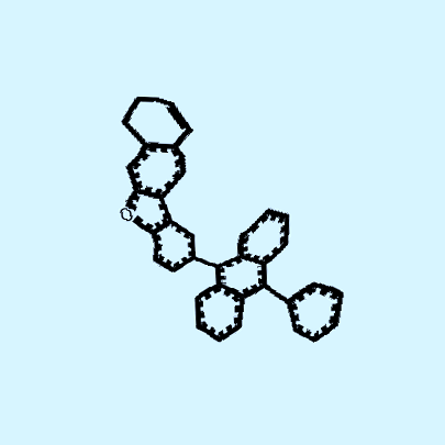 C1=Cc2cc3c(cc2CC1)oc1ccc(-c2c4ccccc4c(-c4ccccc4)c4ccccc24)cc13